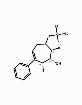 CC[Si](CC)(CC)OC1CC=C(c2ccccc2)[C@@H](C)[C@@H](O)[C@@H]1C